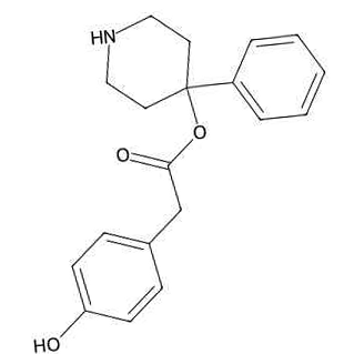 O=C(Cc1ccc(O)cc1)OC1(c2ccccc2)CCNCC1